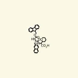 O=C(N[C@@H](Cc1ccc2ccccc2c1)C(=O)NC(C(=O)O)C1CCCCO1)OCC1c2ccccc2-c2ccccc21